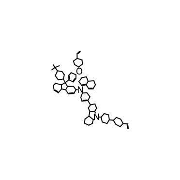 C=CC1CCC(OC2C=CC(C3(C4CCC(C(C)(C)C)CC4)C4CCC=CC4C4C=CC(N(C5=C6C=CCCC6CCC5)C5CC=C(C6CCC7C(C6)C6CCCCC6N7C6CCC(C7CCC(C=C)CC7)CC6)CC5)CC43)=CC2)CC1